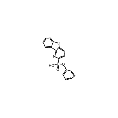 O=P(O)(Oc1ccccc1)c1ccc2oc3ccccc3c2n1